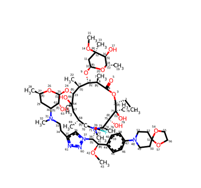 CC[C@H]1OC(=O)[C@H](C)[C@@H](O[C@H]2C[C@@](C)(OC)[C@@H](O)[C@H](C)O2)[C@H](C)[C@@H](O[C@@H]2O[C@H](C)C[C@H](N(C)CCc3cn([C@H](CF)[C@H](OC)c4ccc(N5CCC6(CC5)OCCO6)cc4)nn3)[C@H]2O)[C@](C)(O)C[C@@H](C)CN(C)[C@H](C)[C@@H](O)[C@]1(C)O